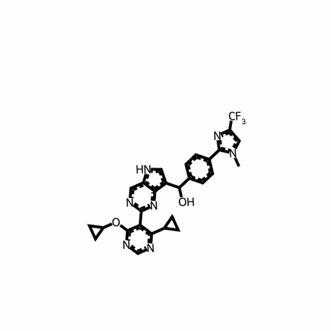 Cn1cc(C(F)(F)F)nc1-c1ccc(C(O)c2c[nH]c3cnc(-c4c(OC5CC5)ncnc4C4CC4)nc23)cc1